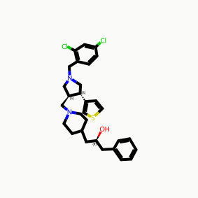 O[C@@H](Cc1ccccc1)CC1CCN(C[C@H]2CN(Cc3ccc(Cl)cc3Cl)C[C@@H]2c2ccsc2)CC1